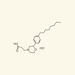 CCCCCCCCc1ccc(C2CN(CCC(=O)O)CCO2)cc1.Cl